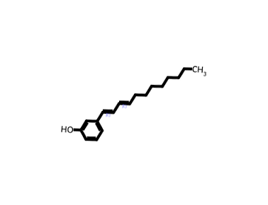 CCCCCCCC/C=C/C=C/c1cccc(O)c1